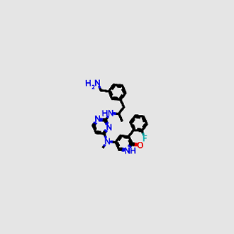 CC(Cc1cccc(CN)c1)Nc1nccc(N(C)c2c[nH]c(=O)c(-c3ccccc3F)c2)n1